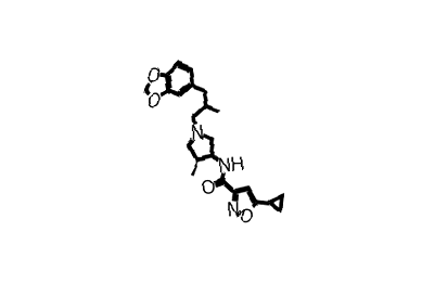 CC(Cc1ccc2c(c1)OCO2)CN1CC(NC(=O)c2cc(C3CC3)on2)[C@@H](C)C1